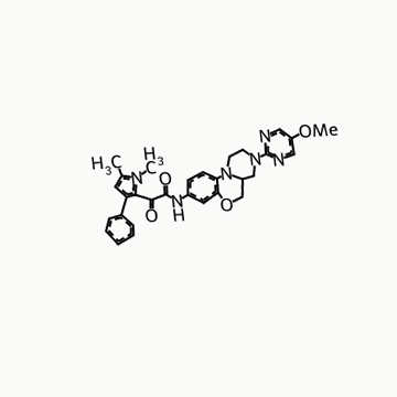 COc1cnc(N2CCN3c4ccc(NC(=O)C(=O)c5c(-c6ccccc6)cc(C)n5C)cc4OCC3C2)nc1